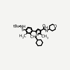 Cc1c(SNC(C)(C)C)ccc(-c2cc(C(=O)NC3CCOCC3)c(C)n2CC2CCCCC2)c1C